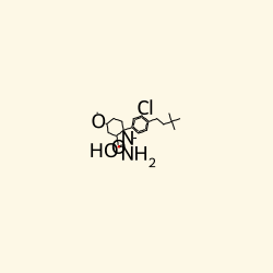 COC1CCC(c2ccc(CCC(C)(C)C)c(Cl)c2)(N(C)C(N)=O)C(CO)C1